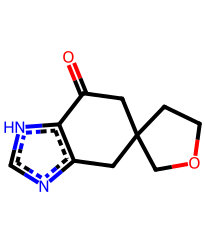 O=C1CC2(CCOC2)Cc2nc[nH]c21